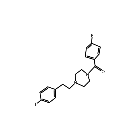 O=C(c1ccc(F)cc1)N1CCN(CCc2ccc(F)cc2)CC1